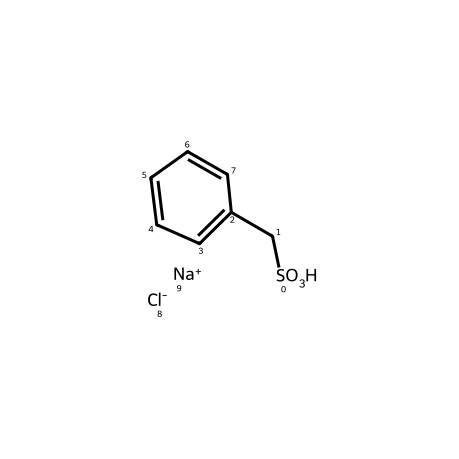 O=S(=O)(O)Cc1ccccc1.[Cl-].[Na+]